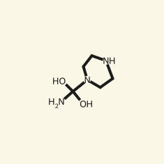 NC(O)(O)N1CCNCC1